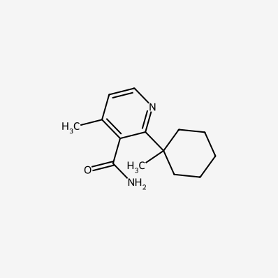 Cc1ccnc(C2(C)CCCCC2)c1C(N)=O